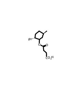 CC(C)[C@@H]1CC[C@@H](C)CC1OC(=O)CCC(=O)O